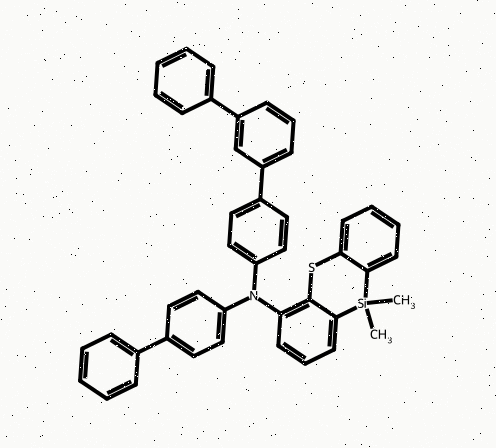 C[Si]1(C)c2ccccc2Sc2c(N(c3ccc(-c4ccccc4)cc3)c3ccc(-c4cccc(-c5ccccc5)c4)cc3)cccc21